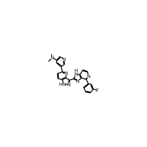 CN(C)c1cncc(-c2ccc3[nH]nc(-c4nc5c(-c6cccc(F)c6)nccc5[nH]4)c3n2)c1